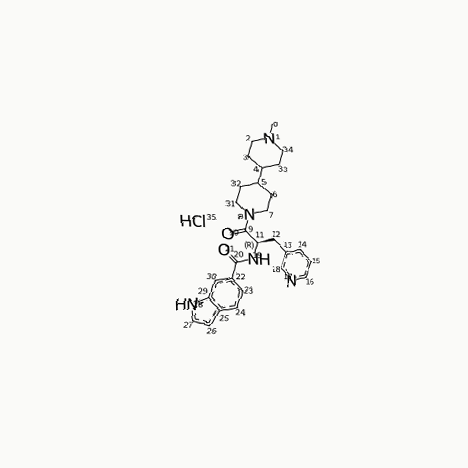 CN1CCC(C2CCN(C(=O)[C@@H](Cc3cccnc3)NC(=O)c3ccc4cc[nH]c4c3)CC2)CC1.Cl